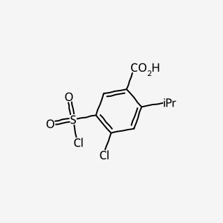 CC(C)c1cc(Cl)c(S(=O)(=O)Cl)cc1C(=O)O